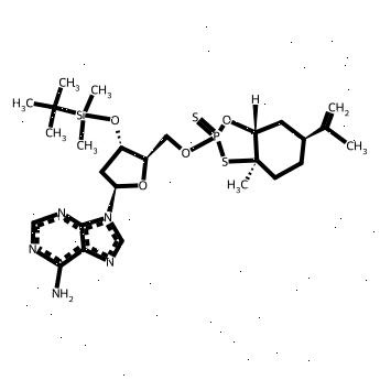 C=C(C)[C@H]1CC[C@@]2(C)SP(=S)(OC[C@H]3O[C@@H](n4cnc5c(N)ncnc54)C[C@@H]3O[Si](C)(C)C(C)(C)C)O[C@@H]2C1